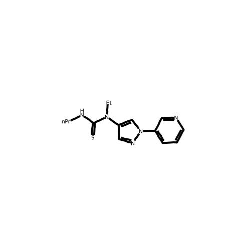 CCCNC(=S)N(CC)c1cnn(-c2cccnc2)c1